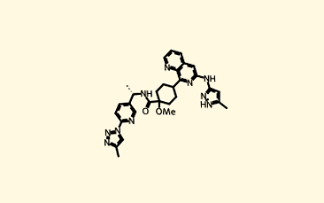 COC1(C(=O)N[C@@H](C)c2ccc(-n3cc(C)nn3)nc2)CCC(c2nc(Nc3cc(C)[nH]n3)cc3cccnc23)CC1